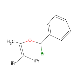 CC(OC(Br)c1ccccc1)=C(C(C)C)C(C)C